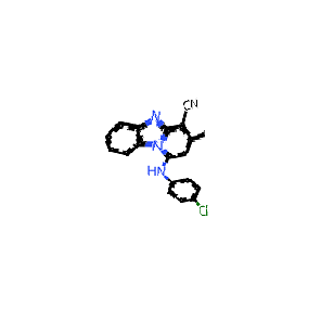 Cc1cc(Nc2ccc(Cl)cc2)n2c(nc3ccccc32)c1C#N